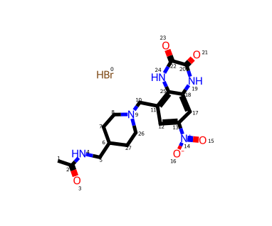 Br.CC(=O)NCC1CCN(Cc2cc([N+](=O)[O-])cc3[nH]c(=O)c(=O)[nH]c23)CC1